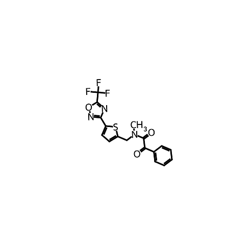 CN(Cc1ccc(-c2noc(C(F)(F)F)n2)s1)C(=O)C(=O)c1ccccc1